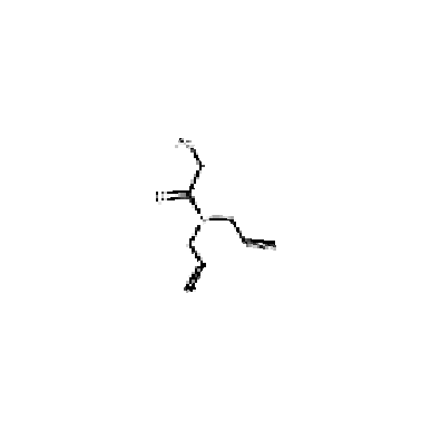 C=CCN(CC=C)C(=O)CC(C)=O